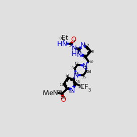 CCNC(=O)Nc1nccc(CN2CCN(c3ccc(C(=O)NC)nc3C(F)(F)F)CC2)n1